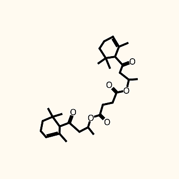 CC1=CCCC(C)(C)C1C(=O)CC(C)OC(=O)CCC(=O)OC(C)CC(=O)C1C(C)=CCCC1(C)C